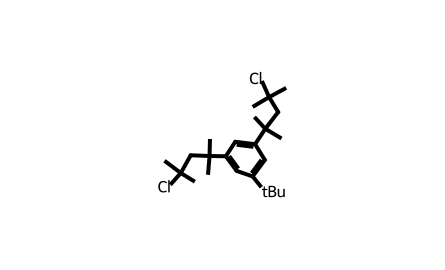 CC(C)(Cl)CC(C)(C)c1cc(C(C)(C)C)cc(C(C)(C)CC(C)(C)Cl)c1